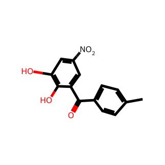 Cc1ccc(C(=O)c2cc([N+](=O)[O-])cc(O)c2O)cc1